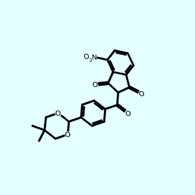 CC1(C)COC(c2ccc(C(=O)C3C(=O)c4cccc([N+](=O)[O-])c4C3=O)cc2)OC1